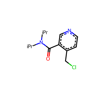 CC(C)N(C(=O)c1cnccc1CCl)C(C)C